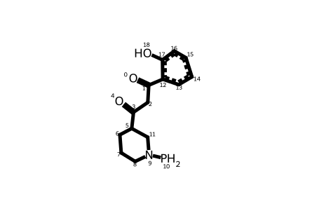 O=C(CC(=O)C1CCCN(P)C1)c1ccccc1O